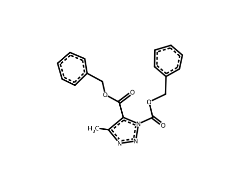 Cc1nnn(C(=O)OCc2ccccc2)c1C(=O)OCc1ccccc1